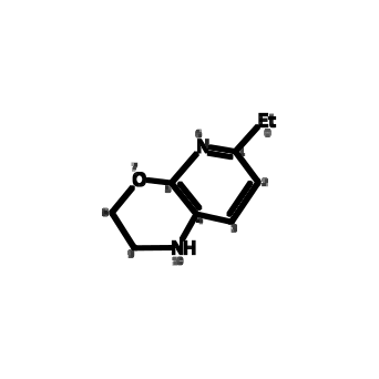 CCc1ccc2c(n1)OCCN2